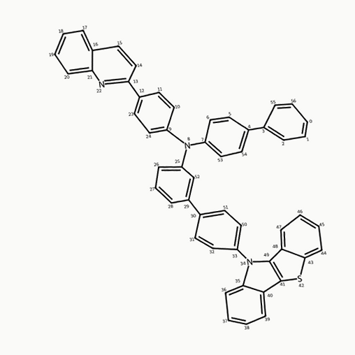 c1ccc(-c2ccc(N(c3ccc(-c4ccc5ccccc5n4)cc3)c3cccc(-c4ccc(-n5c6ccccc6c6sc7ccccc7c65)cc4)c3)cc2)cc1